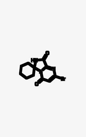 O=C1NC2(CCCCC2)n2c1nc(Br)cc2=O